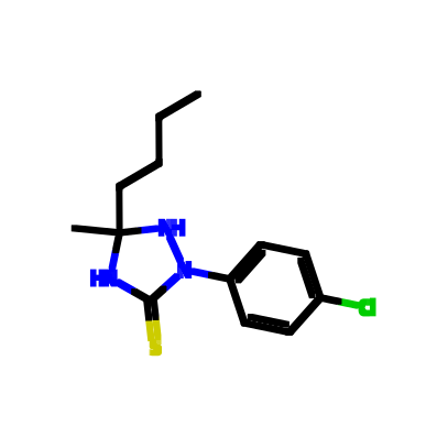 CCCCC1(C)NC(=S)N(c2ccc(Cl)cc2)N1